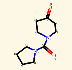 O=C1CCN(C(=O)N2CCCC2)CC1